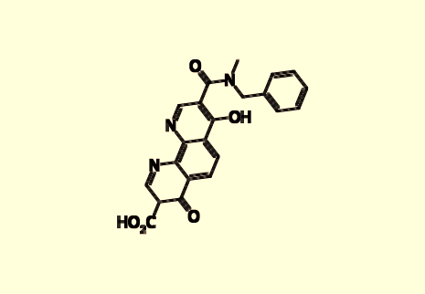 CN(Cc1ccccc1)C(=O)c1cnc2c3c(ccc2c1O)C(=O)C(C(=O)O)C=N3